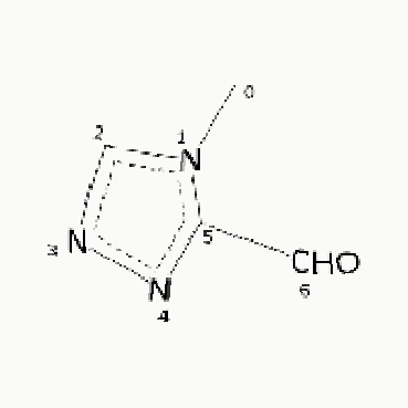 Cn1cnnc1C=O